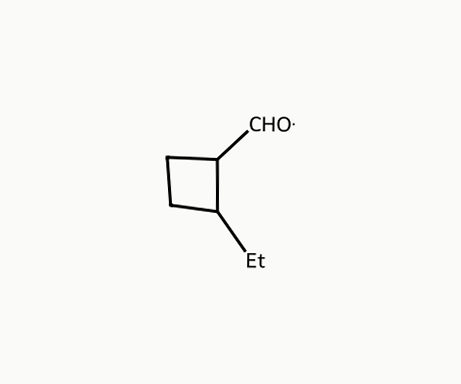 CCC1CCC1[C]=O